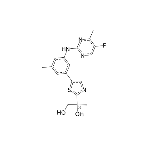 Cc1cc(Nc2ncc(F)c(C)n2)cc(-c2cnc([C@@](C)(O)CO)s2)c1